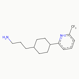 NCCCC1CCC(c2cccc(C(F)(F)F)n2)CC1